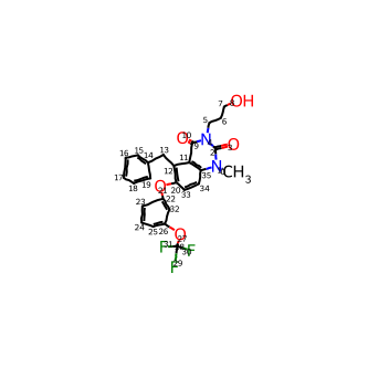 Cn1c(=O)n(CCCO)c(=O)c2c(Cc3ccccc3)c(Oc3cccc(OC(F)(F)F)c3)ccc21